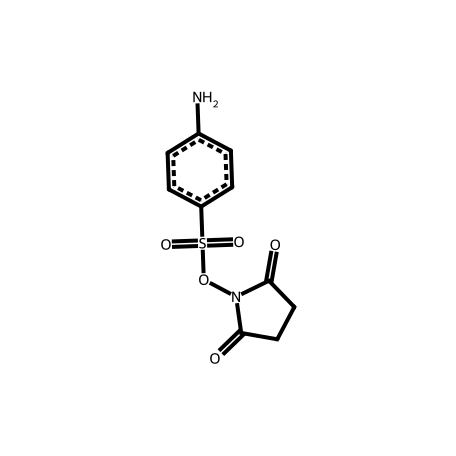 Nc1ccc(S(=O)(=O)ON2C(=O)CCC2=O)cc1